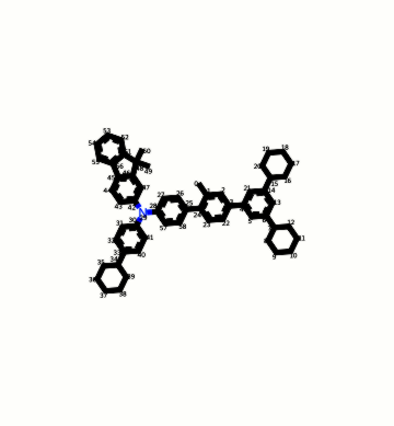 Cc1cc(-c2cc(C3CCCCC3)cc(C3CCCCC3)c2)ccc1-c1ccc(N(c2ccc(C3CCCCC3)cc2)c2ccc3c(c2)C(C)(C)c2ccccc2-3)cc1